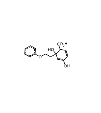 O=C(O)C1C=CC(O)=CC1(O)CCOc1ccccc1